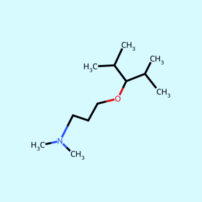 CC(C)C(OCCCN(C)C)C(C)C